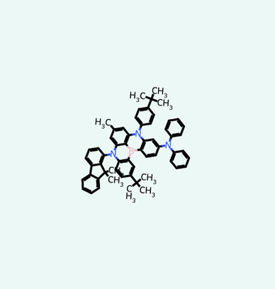 Cc1cc2c3c(c1)N(c1cccc4c1C(C)(C)c1ccccc1-4)c1ccc(C(C)(C)C)cc1B3c1ccc(N(c3ccccc3)c3ccccc3)cc1N2c1ccc(C(C)(C)C)cc1